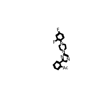 CC(=O)c1ccccc1-c1cncc(N2CCN(c3ccc(F)cc3F)CC2)n1